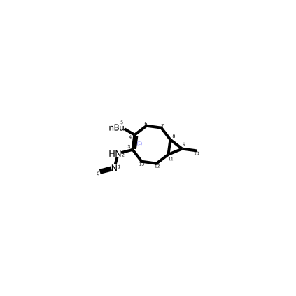 C=NN/C1=C(\CCCC)CCC2C(C)C2CC1